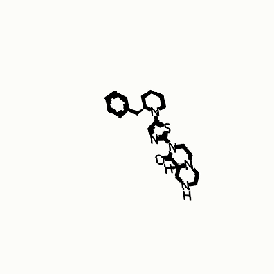 O=C1[C@H]2CNCCN2CCN1c1ncc(N2CCCC[C@@H]2Cc2ccccc2)s1